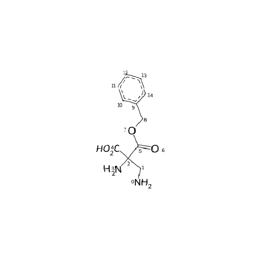 NCC(N)(C(=O)O)C(=O)OCc1ccccc1